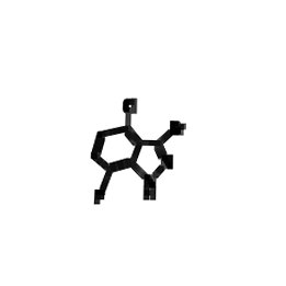 Fc1ccc(Cl)c2c(Br)n[nH]c12